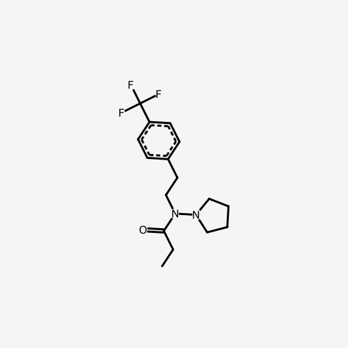 CCC(=O)N(CCc1ccc(C(F)(F)F)cc1)N1CCCC1